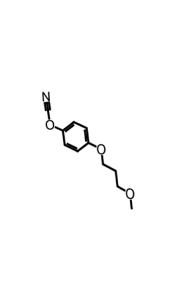 COCCCOc1ccc(OC#N)cc1